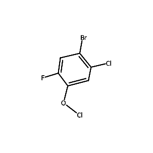 Fc1cc(Br)c(Cl)cc1OCl